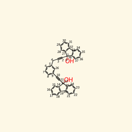 OC1(C#CCc2cccc(C#CC3(O)c4ccccc4-c4ccccc43)c2)c2ccccc2-c2ccccc21